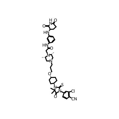 C[C@@H]1CN(CCCO[C@H]2CC[C@H](N3C(=S)N(c4ccc(C#N)c(Cl)c4)C(=O)C3(C)C)CC2)C[C@H](C)N1CC(=O)Nc1cccc(NC2CCC(=O)NC2=O)c1